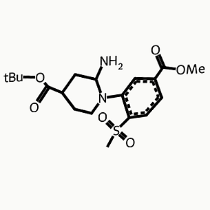 COC(=O)c1ccc(S(C)(=O)=O)c(N2CCC(C(=O)OC(C)(C)C)CC2N)c1